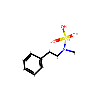 CN(CCc1ccccc1)S(=O)(=O)O